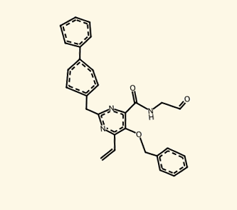 C=Cc1nc(Cc2ccc(-c3ccccc3)cc2)nc(C(=O)NCC=O)c1OCc1ccccc1